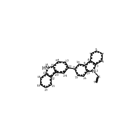 C=Cn1c2ccccc2c2cc(-c3ccc4[nH]c5ccccc5c4c3)ccc21